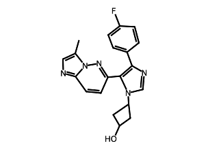 Cc1cnc2ccc(-c3c(-c4ccc(F)cc4)ncn3C3CC(O)C3)nn12